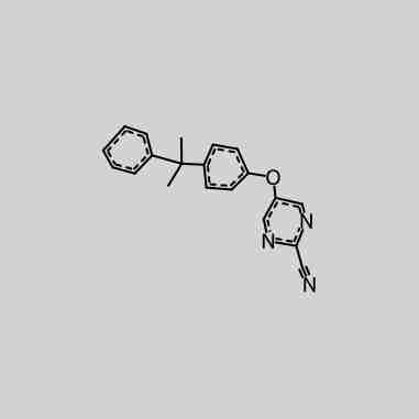 CC(C)(c1ccccc1)c1ccc(Oc2cnc(C#N)nc2)cc1